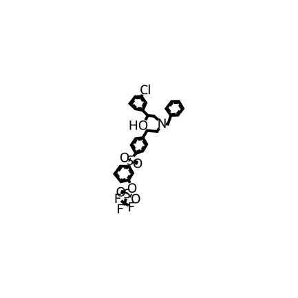 O=S(=O)(c1ccc(CCN(Cc2ccccc2)CC(O)c2cccc(Cl)c2)cc1)c1cccc(OS(=O)(=O)C(F)(F)F)c1